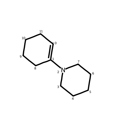 [C]1=C(N2CCCCC2)CCCC1